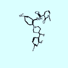 Cn1cccc(C(=O)Nc2cc(C#N)ccc2N2CCC(C(F)c3ccc(F)cc3F)CC2)c1=O